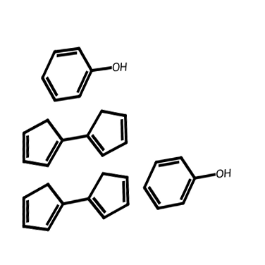 C1=CCC(C2=CC=CC2)=C1.C1=CCC(C2=CC=CC2)=C1.Oc1ccccc1.Oc1ccccc1